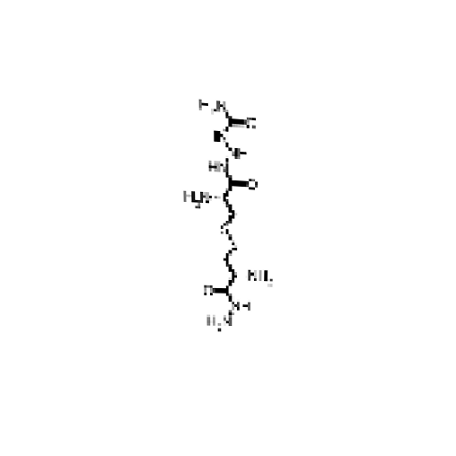 NNC(=O)[C@@H](N)CSSC[C@H](N)C(=O)NNNC(N)=O